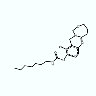 CCCCCCCNC(=O)Oc1ccc2c(c1Cl)CN1CCCCCC1=N2